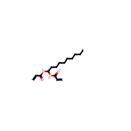 C=CC(=O)OC(CCCCCCCCC)OC(=O)C=C